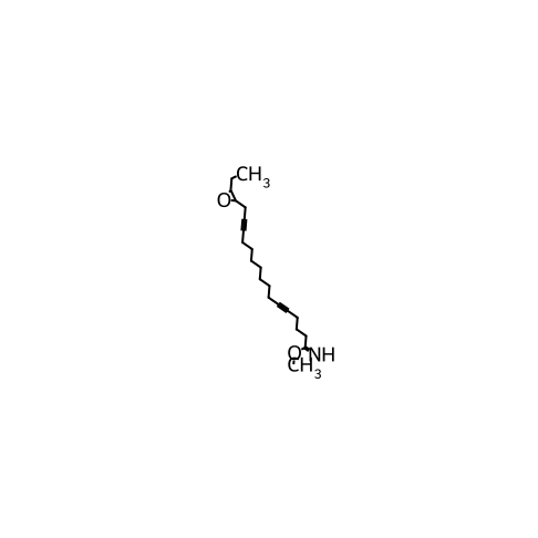 CCC1OC1CC#CCCCCCCCC#CCCCC(=N)OC